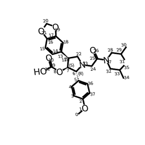 COc1ccc([C@@H]2[C@@H](OC(=O)O)[C@@H](c3ccc4c(c3)OCO4)CN2CC(=O)N(CC(C)C)CC(C)C)cc1